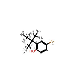 [2H]C([2H])([2H])C(c1cc(Br)ccc1O)(C([2H])([2H])[2H])C([2H])([2H])[2H]